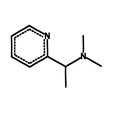 CC(c1ccccn1)N(C)C